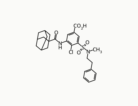 CN(CCc1ccccc1)S(=O)(=O)c1cc(C(=O)O)cc(NC(=O)C23CC4CC(CC(C4)C2)C3)c1Cl